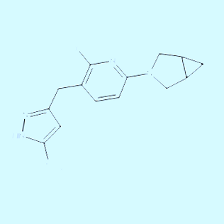 CCc1nc(N2CC3CC3C2)ccc1Cc1cc(C(=O)O)[nH]n1